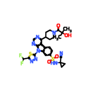 CC(C)(O)C(=O)N1CCC(c2ncnc3c2c2ccc(S(=O)(=O)NC4(C#N)CC4)cc2n3-c2nnc(C(F)F)s2)CC1